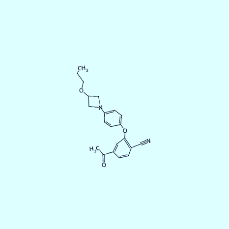 CCCOC1CN(c2ccc(Oc3cc(C(C)=O)ccc3C#N)cc2)C1